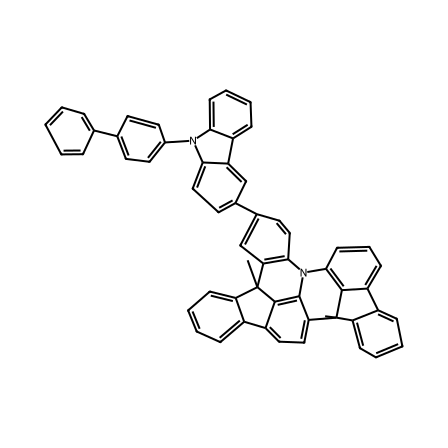 CC12c3ccccc3-c3cccc(c31)N1c3ccc(-c4ccc5c(c4)c4ccccc4n5-c4ccc(-c5ccccc5)cc4)cc3C3(C)c4ccccc4-c4ccc2c1c43